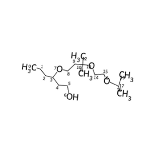 CCCC(CCO)OCCC(C)(C)OCCOC(C)C